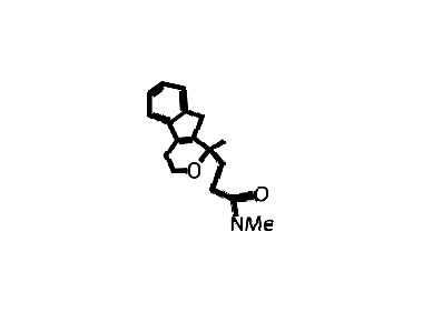 CNC(=O)CCC1(C)OCCC2=C1Cc1ccccc12